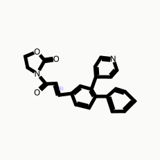 O=C(/C=C/c1ccc(-c2ccccc2)c(-c2ccncc2)c1)N1CCOC1=O